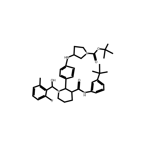 Cc1cccc(F)c1C(O)N1CCCC(C(=O)Nc2cccc(C(C)(C)C)c2)C1c1ccc(NC2CCN(C(=O)OC(C)(C)C)C2)cc1